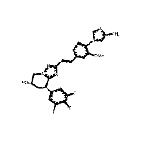 COc1cc(C=Cc2nc3n(n2)C[C@H](O)C[C@@H]3c2cc(F)c(F)c(F)c2)ccc1-n1cnc(C)c1